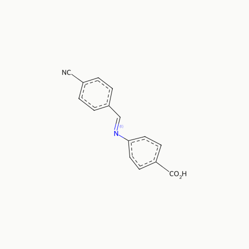 N#Cc1ccc(/C=N/c2ccc(C(=O)O)cc2)cc1